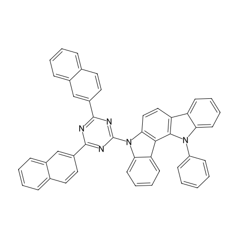 c1ccc(-n2c3ccccc3c3ccc4c(c5ccccc5n4-c4nc(-c5ccc6ccccc6c5)nc(-c5ccc6ccccc6c5)n4)c32)cc1